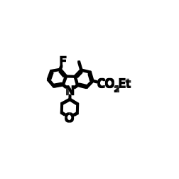 CCOC(=O)c1cc(C)c2c3c(F)cccc3n(C3CCOCC3)c2c1